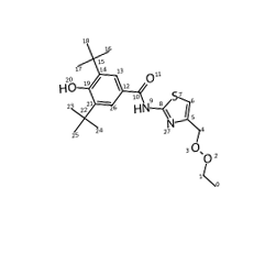 CCOOCc1csc(NC(=O)c2cc(C(C)(C)C)c(O)c(C(C)(C)C)c2)n1